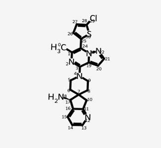 Cc1nc(N2CCC3(CC2)Cc2ncccc2[C@H]3N)c2ccnn2c1-c1ccc(Cl)s1